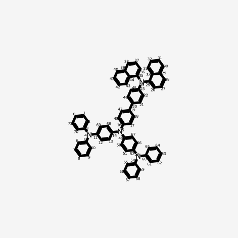 c1ccc(N(c2ccccc2)c2ccc(N(c3ccc(-c4ccc(N(c5cccc6ccccc56)c5cccc6ccccc56)cc4)cc3)c3ccc(N(c4ccccc4)c4ccccc4)cc3)cc2)cc1